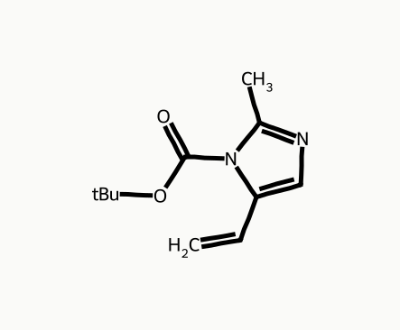 C=Cc1cnc(C)n1C(=O)OC(C)(C)C